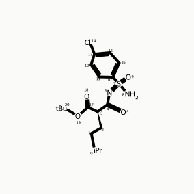 CC(C)CC[C@H](C(=O)N=S(N)(=O)c1ccc(Cl)cc1)C(=O)OC(C)(C)C